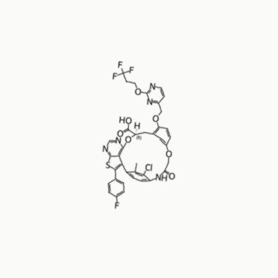 Cc1c2ccc(c1Cl)NC(=O)COc1ccc(OCc3ccnc(OCCC(F)(F)F)n3)c(c1)C[C@H](C(=O)O)Oc1ncnc3sc(-c4ccc(F)cc4)c-2c13